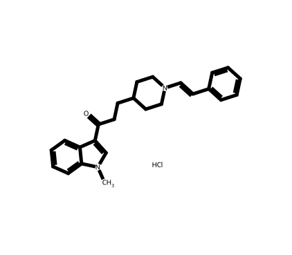 Cl.Cn1cc(C(=O)CCC2CCN(C=Cc3ccccc3)CC2)c2ccccc21